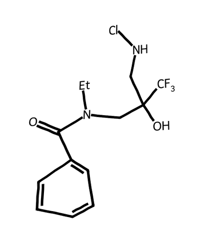 CCN(CC(O)(CNCl)C(F)(F)F)C(=O)c1ccccc1